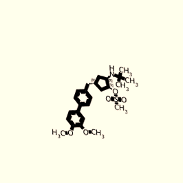 COc1ccc(-c2ccc(C[C@@H]3C[C@@H](NC(C)(C)C)[C@H](OS(C)(=O)=O)C3)cc2)cc1OC